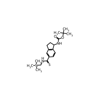 CC(C)(C)OC(=O)NC1CCc2cc(C(=S)NC[Si](C)(C)C)ccc21